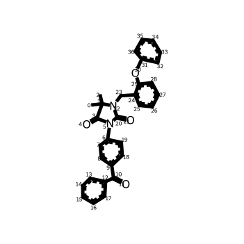 CC1(C)C(=O)N(c2ccc(C(=O)c3ccccc3)cc2)C(=O)N1Cc1ccccc1Oc1ccccc1